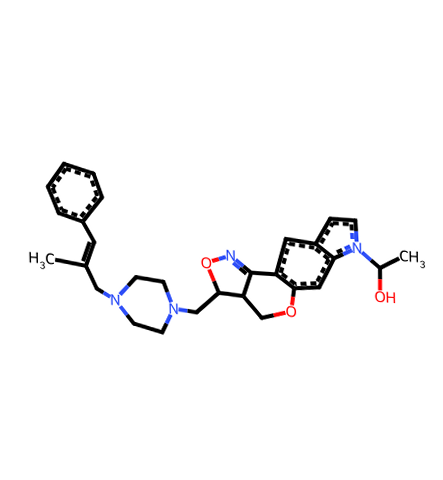 CC(=Cc1ccccc1)CN1CCN(CC2ON=C3c4cc5ccn(C(C)O)c5cc4OCC32)CC1